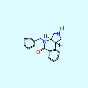 O=C1c2ccccc2[C@H]2CN(Cl)C[C@@H]2N1Cc1ccccc1